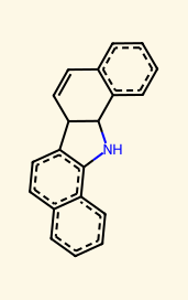 C1=CC2c3ccc4ccccc4c3NC2c2ccccc21